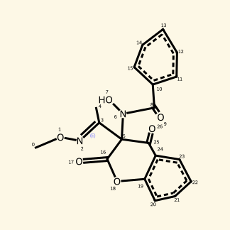 CO/N=C(\C)C1(N(O)C(=O)c2ccccc2)C(=O)Oc2ccccc2C1=O